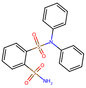 NS(=O)(=O)c1ccccc1S(=O)(=O)N(c1ccccc1)c1ccccc1